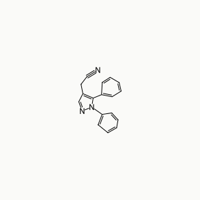 N#CCc1cnn(-c2ccccc2)c1-c1ccccc1